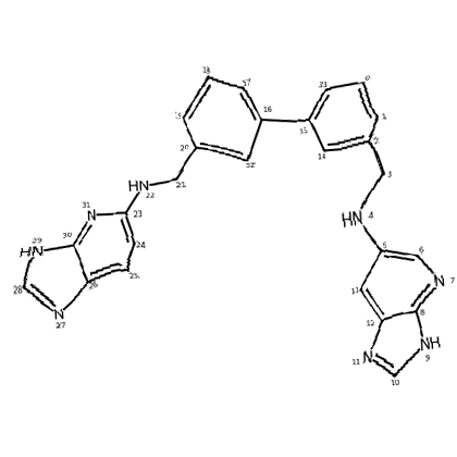 c1cc(CNc2cnc3[nH]cnc3c2)cc(-c2cccc(CNc3ccc4nc[nH]c4n3)c2)c1